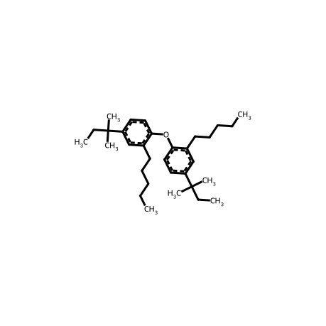 CCCCCc1cc(C(C)(C)CC)ccc1Oc1ccc(C(C)(C)CC)cc1CCCCC